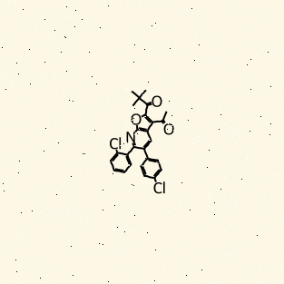 CC(=O)c1c(C(=O)C(C)(C)C)oc2nc(-c3ccccc3Cl)c(-c3ccc(Cl)cc3)cc12